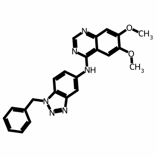 COc1cc2ncnc(Nc3ccc4c(c3)nnn4Cc3ccccc3)c2cc1OC